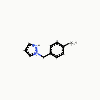 O=S(=O)(O)c1ccc(Cn2cccn2)cc1